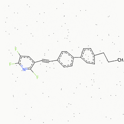 CCCc1ccc(-c2ccc(C#Cc3cc(F)c(F)nc3F)cc2)cc1